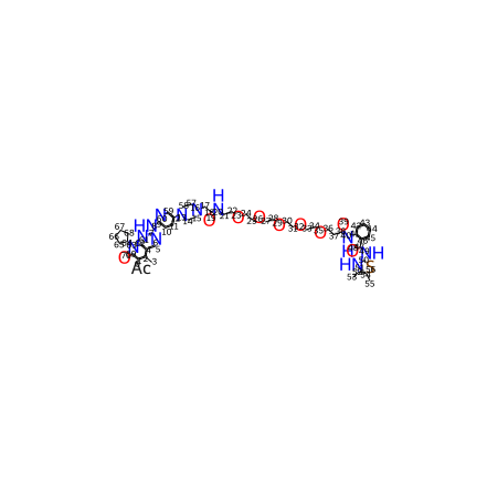 CC(=O)c1c(C)c2cnc(Nc3ccc(N4CCN(CC(=O)NCCOCCOCCOCCOCCOCCC(=O)Nc5ccccc5C(=O)NC5NC(C)=C(C)S5)CC4)cn3)nc2n(C2CCCC2)c1=O